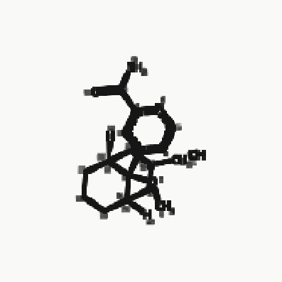 COC1(c2ccnc(C(N)=O)c2)[C@@H]2CCC[C@H]1CN(C)C2.Cl